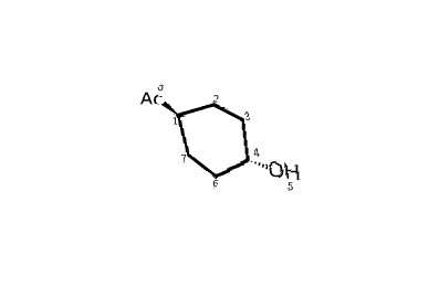 CC(=O)[C@H]1CC[C@H](O)CC1